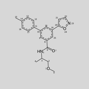 COCC(C)NC(=O)c1cc(-c2ccc(C)cc2)cc(-c2ccno2)c1